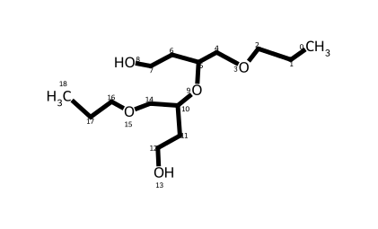 CCCOCC(CCO)OC(CCO)COCCC